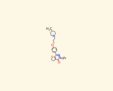 CCCn1nc(-c2ccc(OCCCN3CCC(C)CC3)cc2)c2c(c1=O)CCS2